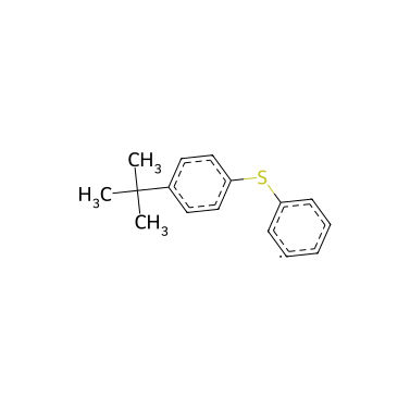 CC(C)(C)c1ccc(Sc2c[c]ccc2)cc1